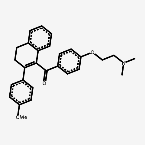 COc1ccc(C2=C(C(=O)c3ccc(OCCN(C)C)cc3)c3ccccc3CC2)cc1